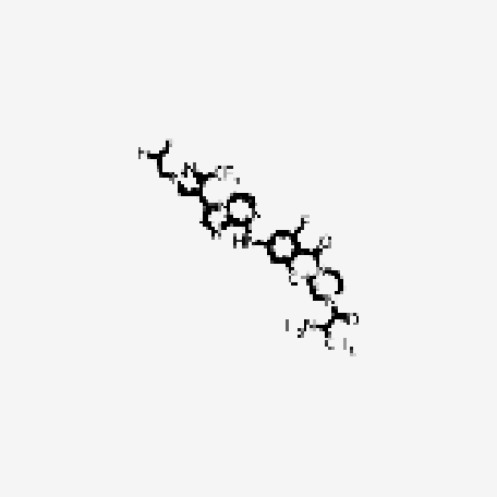 Cc1cc(Nc2nccn3c(-c4cn(CC(F)F)nc4C(F)(F)F)cnc23)cc(F)c1C(=O)N1CCN(C(=O)C(C)N)CC1